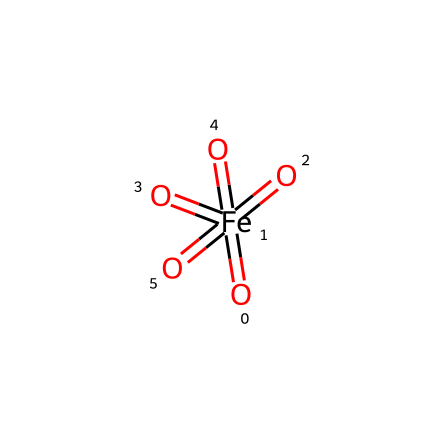 [O]=[Fe](=[O])(=[O])(=[O])=[O]